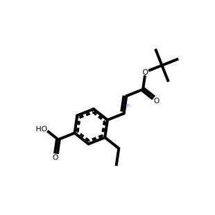 CCc1cc(C(=O)O)ccc1/C=C/C(=O)OC(C)(C)C